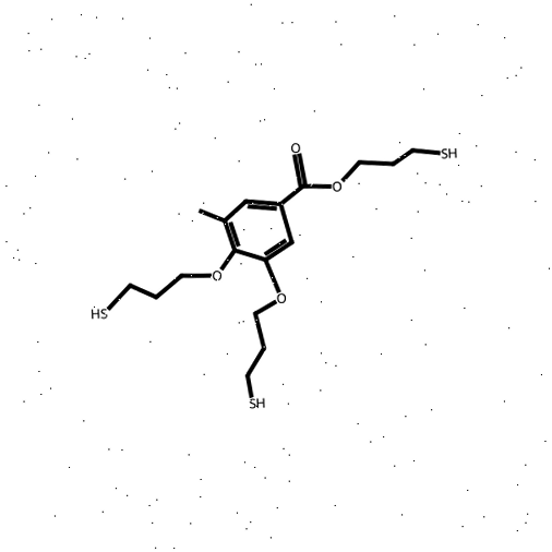 Cc1cc(C(=O)OCCCS)cc(OCCCS)c1OCCCS